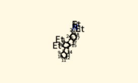 CCc1c(CC)c2c(c3c1-c1ccccc1C3)Cc1ccc(CN(CC)CC)cc1-2